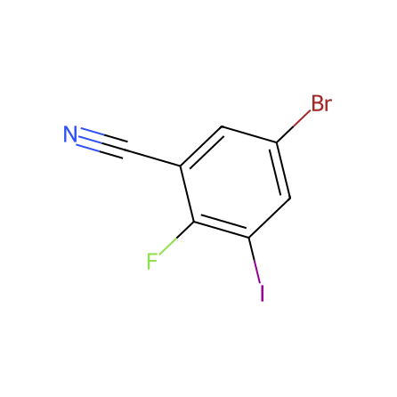 N#Cc1cc(Br)cc(I)c1F